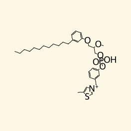 CCCCCCCCCCCCc1cccc(OCC(COP(=O)(O)Oc2cccc(C[n+]3csc(C)c3)c2)OC)c1